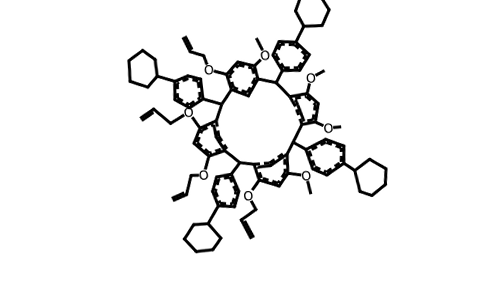 C=CCOc1cc(OC)c2cc1C(c1ccc(C3CCCCC3)cc1)c1cc(c(OCC=C)cc1OCC=C)C(c1ccc(C3CCCCC3)cc1)c1cc(c(OC)cc1OCC=C)C(c1ccc(C3CCCCC3)cc1)c1cc(c(OC)cc1OC)C2c1ccc(C2CCCCC2)cc1